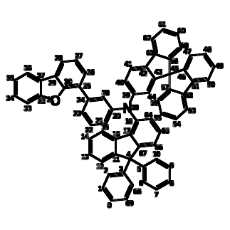 c1ccc(C2(c3ccccc3)c3ccccc3-c3c(N(c4cccc(-c5cccc6c5oc5ccccc56)c4)c4ccc5c(c4)C4(c6ccccc6-c6ccccc64)c4ccccc4-5)cccc32)cc1